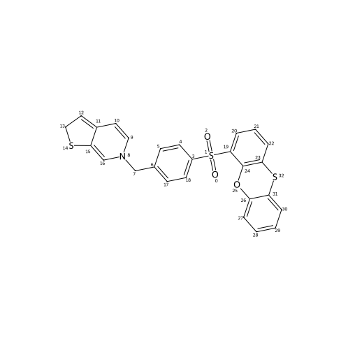 O=S(=O)(c1ccc(CN2C=CC3=CCSC3=C2)cc1)c1cccc2c1Oc1ccccc1S2